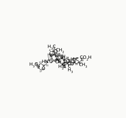 C=C(C)[C@@H]1CC[C@]2(CC(=O)NCC3CN(C)CCO3)CC[C@]3(C)[C@H](CC[C@@H]4[C@@]5(C)CC[C@H](OC(=O)CC(C)(C)CC(=O)O)C(C)(C)[C@@H]5CC[C@]43C)[C@@H]12